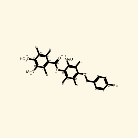 COc1c(C)c(OCc2ccc(F)cc2)c(C)c(C)c1OC(=O)c1c(C)c(C)c(C(=O)O)c(OC)c1C